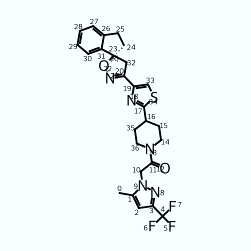 Cc1cc(C(F)(F)F)nn1CC(=O)N1CCC(c2nc(C3=NO[C@]4(CCc5ccccc54)C3)cs2)CC1